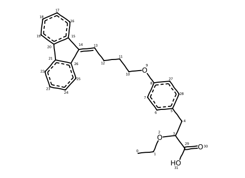 CCOC(Cc1ccc(OCCCC=C2c3ccccc3-c3ccccc32)cc1)C(=O)O